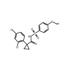 CC(C)Oc1ccc(S(=O)(=O)NC(=O)C2(c3ccc(Cl)cc3Cl)CC2)cc1